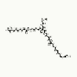 CCCCCCCC/C=C\CCCCCCCC(=O)OCCCCCCC(O)(CCCCO)CCCCCCOC(=O)CCCCCCC/C=C\CCCCCCCC